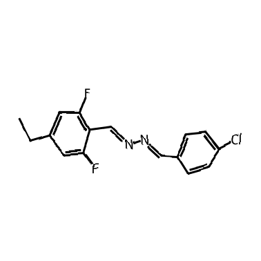 CCc1cc(F)c(C=NN=Cc2ccc(Cl)cc2)c(F)c1